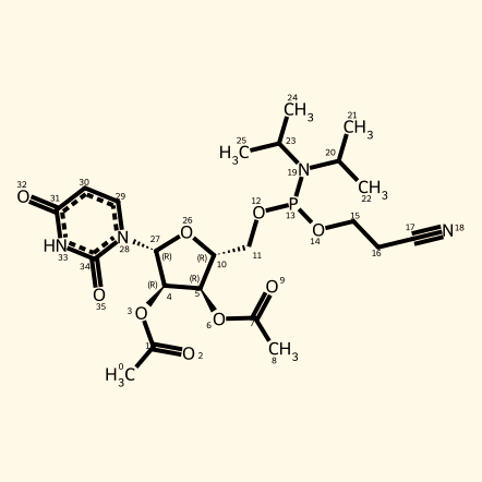 CC(=O)O[C@@H]1[C@H](OC(C)=O)[C@@H](COP(OCCC#N)N(C(C)C)C(C)C)O[C@H]1n1ccc(=O)[nH]c1=O